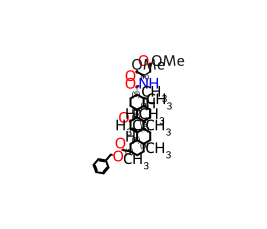 COC(=O)C[C@@H](NC(=O)[C@H]1CC[C@]2(C)[C@H]3C(=O)C=C4[C@@H]5C[C@@](C)(C(=O)OCc6ccccc6)CC[C@]5(C)CC[C@@]4(C)[C@]3(C)CC[C@H]2C1(C)C)C(=O)OC